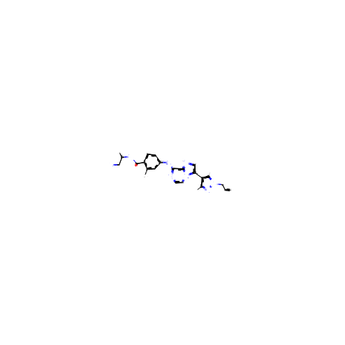 C=CCn1cc(-c2cnc3c(Nc4ccc(C(=O)NC(C)CN)c(CC)c4)nccn23)c(C(F)(F)F)n1